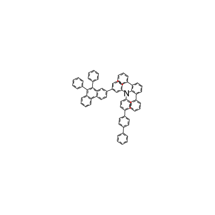 c1ccc(-c2ccc(-c3ccc(N(c4cccc(-c5ccc6c(c5)c(-c5ccccc5)c(-c5ccccc5)c5ccccc56)c4)c4c(-c5ccccc5)cccc4-c4ccccc4)cc3)cc2)cc1